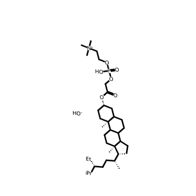 CC[C@H](CC[C@@H](C)[C@H]1CCC2C3CCC4C[C@@H](OC(=O)COP(=O)(O)OCC[N+](C)(C)C)CC[C@]4(C)C3CC[C@@]21C)C(C)C.[OH-]